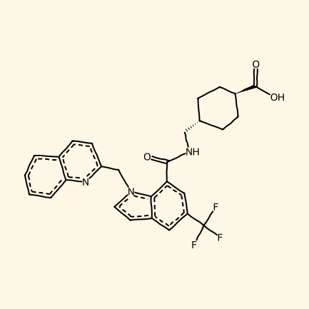 O=C(NC[C@H]1CC[C@H](C(=O)O)CC1)c1cc(C(F)(F)F)cc2ccn(Cc3ccc4ccccc4n3)c12